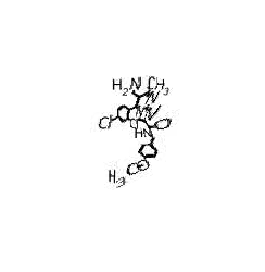 COc1ccc(CNC(=O)c2cn3c(-c4ccc(Cl)cc4Cl)c(CN)c(C)nc3n2)cc1